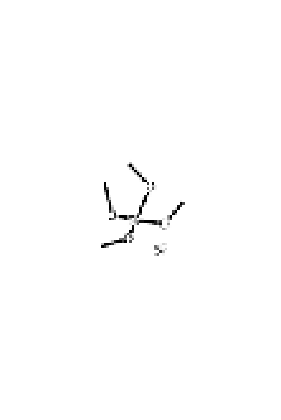 CO[Si](OC)(OC)OC.[Si]